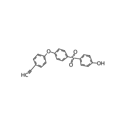 C#Cc1ccc(Oc2ccc(S(=O)(=O)c3ccc(O)cc3)cc2)cc1